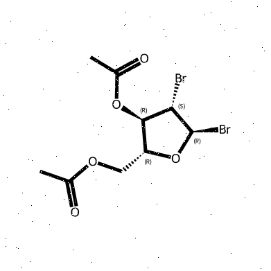 CC(=O)OC[C@H]1O[C@H](Br)[C@@H](Br)[C@@H]1OC(C)=O